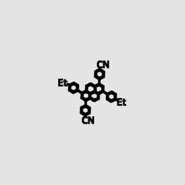 CCc1ccc(-c2cc(-c3ccc(C#N)cc3)c3ccc4c(-c5ccc(CC)cc5)cc(-c5ccc(C#N)cc5)c5ccc2c3c54)cc1